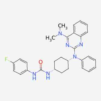 CN(C)c1nc(N(c2ccccc2)[C@H]2CC[C@@H](NC(=O)Nc3ccc(F)cc3)CC2)nc2ccccc12